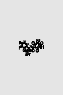 CCN1C(=O)NC(=O)C(C(=O)C[C@H](N[S@@+]([O-])C(C)C)c2ccc(F)c(F)c2)C1=O